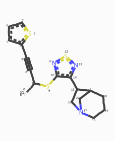 CC(C)C(C#Cc1cccs1)Sc1nsnc1C1CN2CCCC1C2